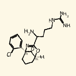 N=C(N)NCCCC(N)C1=N[C@]2(c3ccccc3Cl)CCC[C@H](O1)C2=O